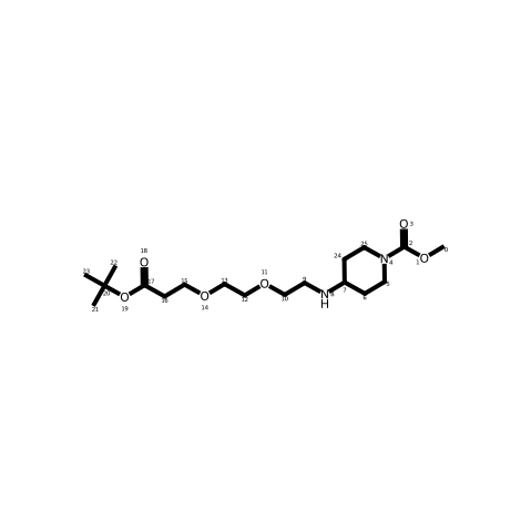 COC(=O)N1CCC(NCCOCCOCCC(=O)OC(C)(C)C)CC1